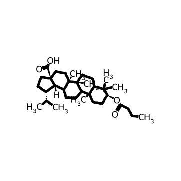 CCCC(=O)O[C@H]1CC[C@@]2(C)C(CC[C@]3(C)C2CCC2[C@@H]4[C@H](C(C)C)CC[C@]4(C(=O)O)CC[C@]23C)C1(C)C